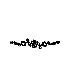 CCCCCCOc1ccc(C(=O)O[C@@H]2CO[C@H]3[C@@H]2OC[C@@H]3OC(=O)c2ccc(OCC3C4C3C43C4CC43)cc2)cc1